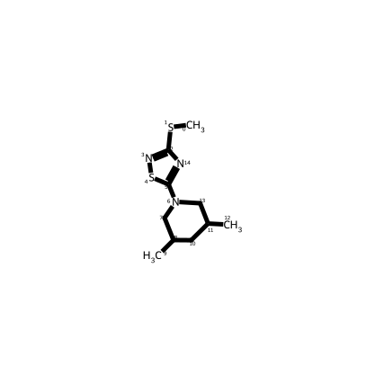 CSc1nsc(N2CC(C)CC(C)C2)n1